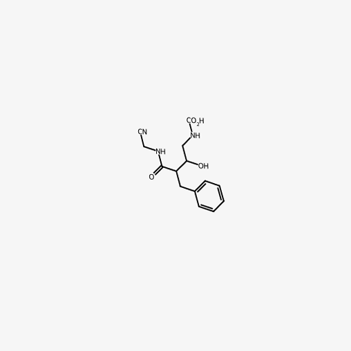 N#CCNC(=O)C(Cc1ccccc1)C(O)CNC(=O)O